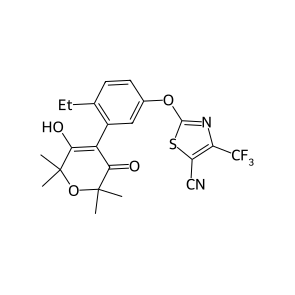 CCc1ccc(Oc2nc(C(F)(F)F)c(C#N)s2)cc1C1=C(O)C(C)(C)OC(C)(C)C1=O